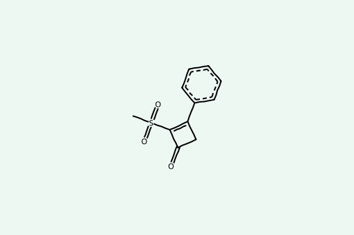 CS(=O)(=O)C1=C(c2ccccc2)CC1=O